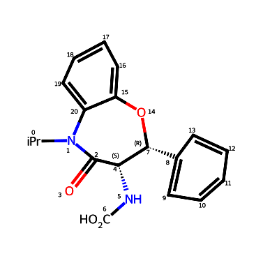 CC(C)N1C(=O)[C@@H](NC(=O)O)[C@@H](c2ccccc2)Oc2ccccc21